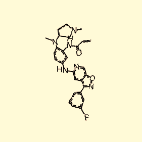 C=CC(=O)Nc1cc(Nc2cc3c(-c4cccc(F)c4)noc3cn2)ccc1N(C)C1CCN(C)C1